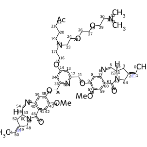 C/C=C1\C[C@H]2C=Nc3cc(OCc4cc(OCCN(CCCC(C)=O)CCOCCOCCN(C)C)cc(COc5cc6c(cc5OC)C(=O)N5C/C(=C/C)C[C@H]5C=N6)n4)c(OC)cc3C(=O)N2C1